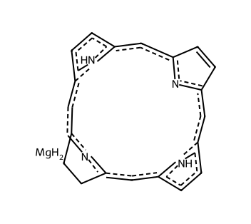 C1=Cc2cc3ccc(cc4nc(cc5ccc(cc1n2)[nH]5)CC4)[nH]3.[MgH2]